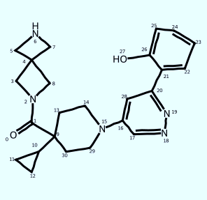 O=C(N1CC2(CNC2)C1)C1(C2CC2)CCN(c2cnnc(-c3ccccc3O)c2)CC1